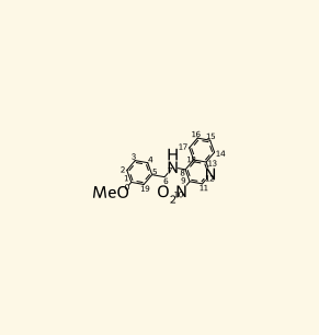 COc1cccc(CNc2c([N+](=O)[O-])cnc3ccccc23)c1